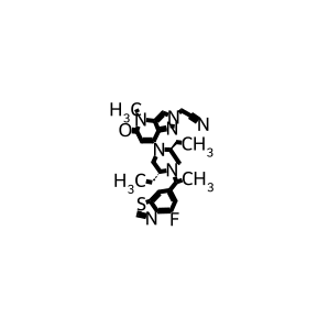 CC[C@H]1CN(C(C)c2cc(F)c3ncsc3c2)[C@H](CC)CN1c1cc(=O)n(C)c2cn(CC#N)nc12